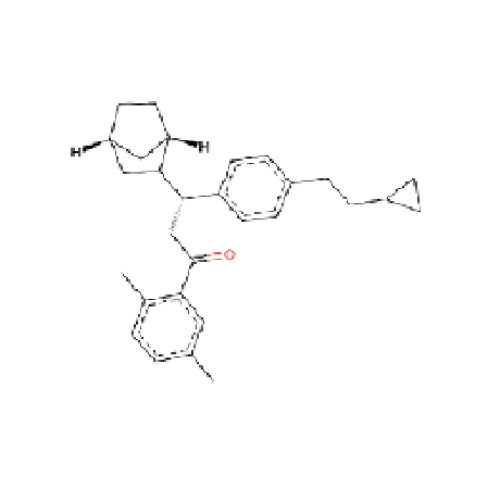 Cc1ccc(C)c(C(=O)C[C@@H](c2ccc(CCC3CC3)cc2)C2C[C@@H]3CC[C@H]2C3)c1